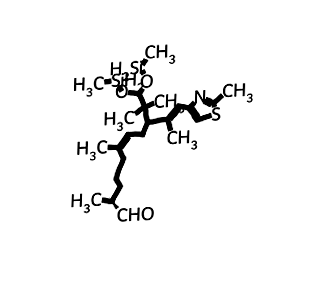 C[SiH2]OC(O[SiH2]C)C(C)(C)C(CC=C(C)CCC[C@H](C)C=O)C(C)=Cc1csc(C)n1